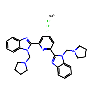 [Cl-].[Cl-].[Cl-].[Nd+3].c1cc(-c2nc3ccccc3n2CN2CCCC2)nc(-c2nc3ccccc3n2CN2CCCC2)c1